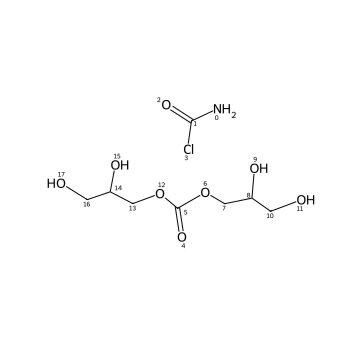 NC(=O)Cl.O=C(OCC(O)CO)OCC(O)CO